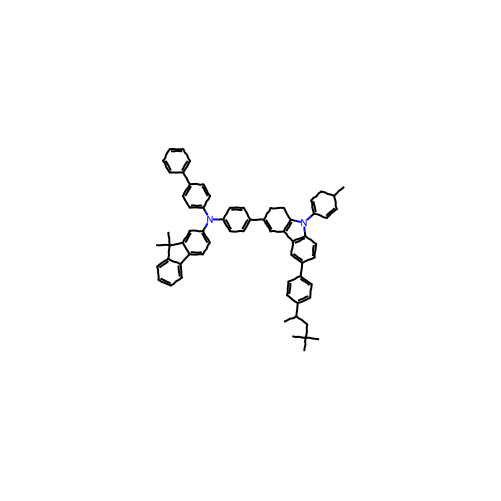 CC1C=CC(n2c3c(c4cc(-c5ccc(C(C)CC(C)(C)C)cc5)ccc42)C=C(c2ccc(N(c4ccc(-c5ccccc5)cc4)c4ccc5c(c4)C(C)(C)c4ccccc4-5)cc2)CC3)=CC1